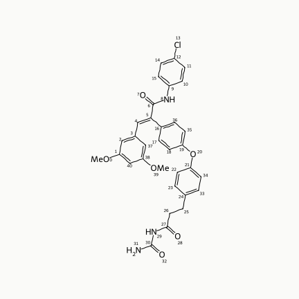 COc1cc(C=C(C(=O)Nc2ccc(Cl)cc2)c2ccc(Oc3ccc(CCC(=O)NC(N)=O)cc3)cc2)cc(OC)c1